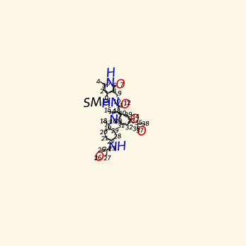 CSc1cc(C)[nH]c(=O)c1CNC(=O)c1c(C)n([C@H](C)C2CCC(NC3COC3)CC2)c2ccc(OC3COC3)cc12